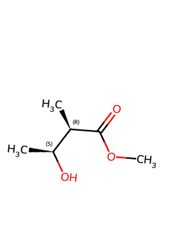 COC(=O)[C@H](C)[C@H](C)O